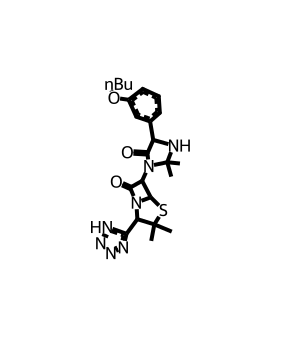 CCCCOc1cccc(C2NC(C)(C)N(C3C(=O)N4C3SC(C)(C)C4c3nnn[nH]3)C2=O)c1